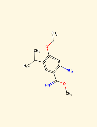 CCOc1cc(N)c(C(=N)OC)cc1C(C)C